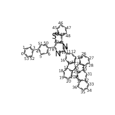 c1ccc(-c2ccc(-c3nc(-c4ccc5c(c4)-c4ccccc4C54c5ccccc5-c5cc6ccccc6cc54)nc4c3sc3ccccc34)cc2)cc1